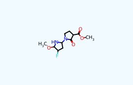 COC(=O)C1CCN(C2CC(F)C(OC)N2)C1=O